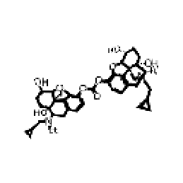 CCN(CC1CC1)C1Cc2ccc(OC(=O)Oc3ccc4c5c3OC3[C@H](O)CC[C@@]6(O)[C@@H](C4)N(CC4CC4)CC[C@]536)c3c2[C@@]2(I)C(O3)[C@H](O)CC[C@@]12O